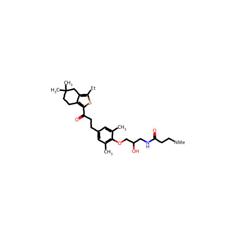 CCc1sc(C(=O)CCc2cc(C)c(OCC(O)CNC(=O)CCNC)c(C)c2)c2c1CC(C)(C)CC2